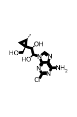 C[C@H]1C[C@@]1(CO)[C@H](O)[C@H](O)n1cnc2c(N)nc(Cl)nc21